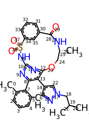 Cc1cccc(C)c1-c1nc2nc(c1-c1cnn(CC(C)C)c1)OC[C@@H](C)NC(=O)c1cccc(c1)S(=O)(=O)N2